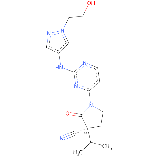 CC(C)[C@]1(C#N)CCN(c2ccnc(Nc3cnn(CCO)c3)n2)C1=O